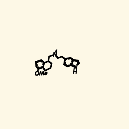 COc1cccc2c1CCCC2CN(C)CCc1ccc2[nH]ccc2c1